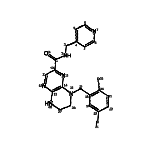 O=C(NCc1ccncc1)c1cnc2c(n1)N(Cc1cc(F)ccc1F)CCN2